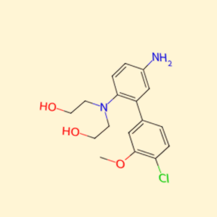 COc1cc(-c2cc(N)ccc2N(CCO)CCO)ccc1Cl